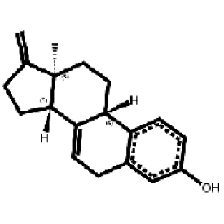 C=C1CC[C@H]2C3=CCc4cc(O)ccc4[C@H]3CC[C@]12C